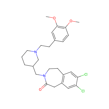 COc1ccc(CCN2CCCC(CN3CCc4cc(Cl)c(Cl)cc4CC3=O)C2)cc1OC